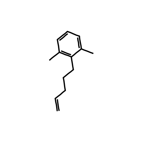 C=CCCCc1c(C)cccc1C